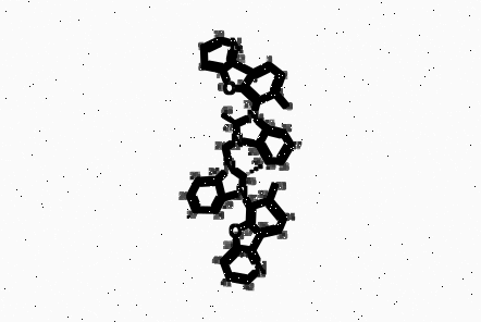 Cc1ccc2c(oc3cccnc32)c1N1c2ccccc2N(CN2c3ccccc3N(c3c(C)ccc4c3oc3cccnc34)[C@H]2C)[C@H]1C